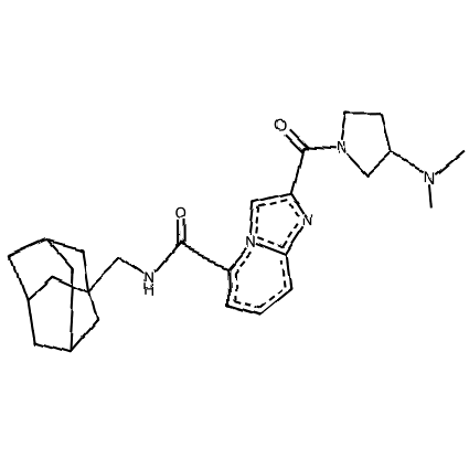 CN(C)C1CCN(C(=O)c2cn3c(C(=O)NCC45CC6CC(CC(C6)C4)C5)cccc3n2)C1